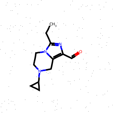 CCc1nc(C=O)c2n1CCN(C1CC1)C2